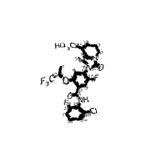 C[C@H](Oc1cc(-n2nc3n(c2=O)CCCC3C(=O)O)c(F)cc1C(=O)Nc1c(F)cccc1Cl)C(F)(F)F